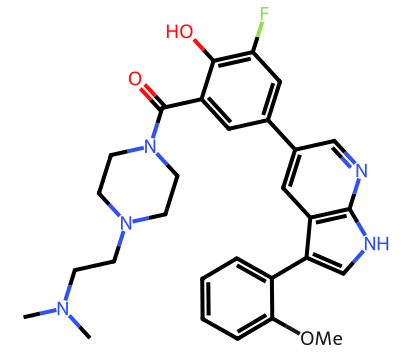 COc1ccccc1-c1c[nH]c2ncc(-c3cc(F)c(O)c(C(=O)N4CCN(CCN(C)C)CC4)c3)cc12